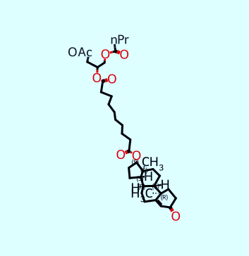 CCCC(=O)OCC(COC(C)=O)OC(=O)CCCCCCCCC(=O)O[C@H]1CC[C@H]2[C@@H]3CCC4=CC(=O)CC[C@]4(C)[C@H]3CC[C@]12C